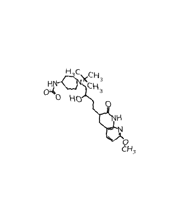 COc1ccc2c(n1)NC(=O)C(CCC(O)C[N+]1(C(C)(C)C)CCC(NC(=O)[O-])CC1)C2